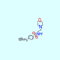 CC(C)(C)Sc1ccc(S(=O)(=O)NCCN2CCOCC2)cc1